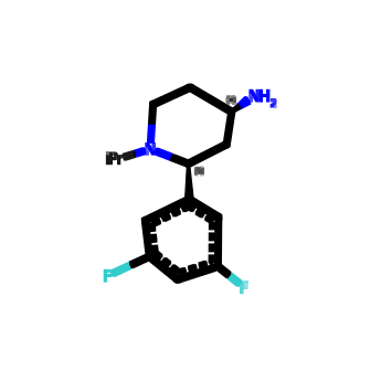 CC(C)N1CC[C@@H](N)C[C@H]1c1cc(F)cc(F)c1